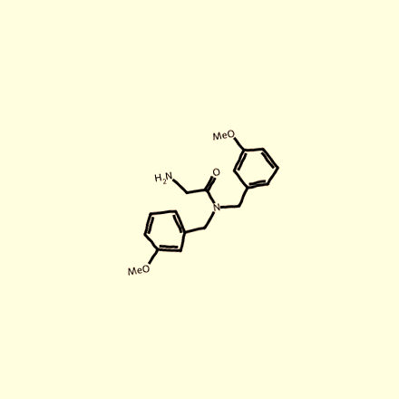 COc1cccc(CN(Cc2cccc(OC)c2)C(=O)CN)c1